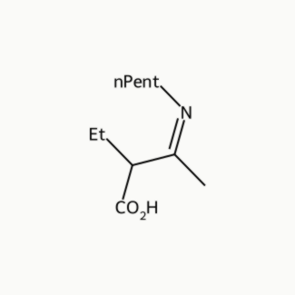 CCCCC/N=C(/C)C(CC)C(=O)O